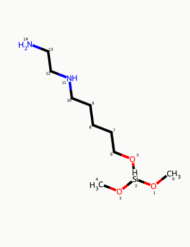 CO[SiH](OC)OCCCCCNCCN